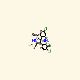 CC(C)(C)C[C@@H]1N[C@@H](C(=O)O)[C@H](c2ccc(Cl)c(Cl)c2)[C@@]1(N)c1ccc(Cl)cc1F